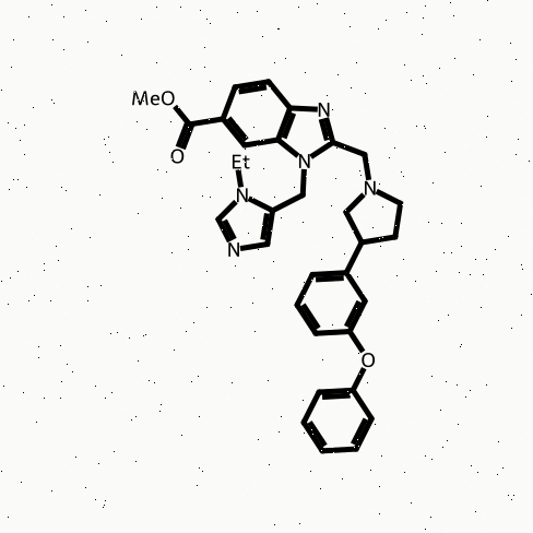 CCn1cncc1Cn1c(CN2CCC(c3cccc(Oc4ccccc4)c3)C2)nc2ccc(C(=O)OC)cc21